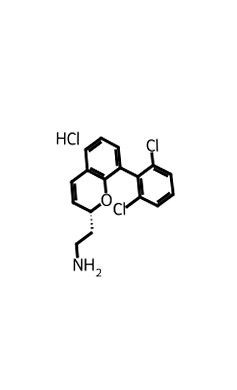 Cl.NCC[C@@H]1C=Cc2cccc(-c3c(Cl)cccc3Cl)c2O1